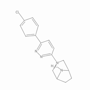 CN1C2CCC1CN(c1ccc(-c3ccc(Cl)cc3)nn1)C2